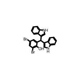 Oc1c(Br)cc(Br)cc1C(c1c[nH]c2ccccc12)c1c[nH]c2ccccc12